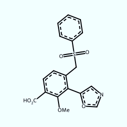 COc1c(C(=O)O)ccc(CS(=O)(=O)c2ccccc2)c1-c1cnco1